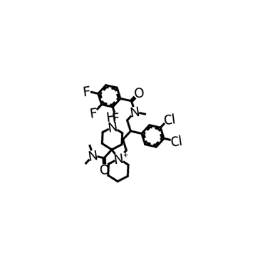 CN(C)C(=O)C1([N+]2(CCC(CN(C)C(=O)c3ccc(F)c(F)c3F)c3ccc(Cl)c(Cl)c3)CCCCC2)CCNCC1